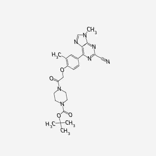 Cc1cc(-c2nc(C#N)nc3c2ncn3C)ccc1OCC(=O)N1CCN(C(=O)OC(C)(C)C)CC1